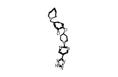 Clc1cc(CN2CCCCC2)ccc1OC1CCN(c2ncc(-c3nn[nH]n3)cn2)CC1